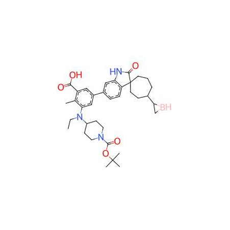 CCN(c1cc(-c2ccc3c(c2)NC(=O)C32CCCC(C3BC3)CC2)cc(C(=O)O)c1C)C1CCN(C(=O)OC(C)(C)C)CC1